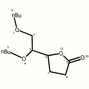 CCCCOCC(OCCCC)C1CCC(=O)O1